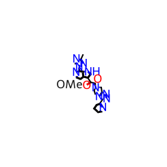 COc1cnc(-n2cnc(C)n2)c2[nH]cc(C(=O)C(=O)N3CCn4c(nnc4-c4ccccn4)C3)c12